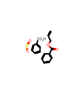 C=CCOC(=O)c1ccccc1.O=C(O)c1ccccc1.O=S=O